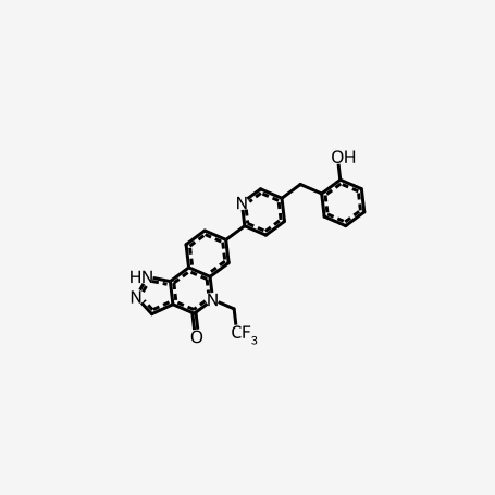 O=c1c2cn[nH]c2c2ccc(-c3ccc(Cc4ccccc4O)cn3)cc2n1CC(F)(F)F